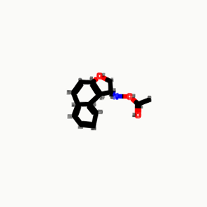 CC(=O)O/N=C1\COc2ccc3ccccc3c21